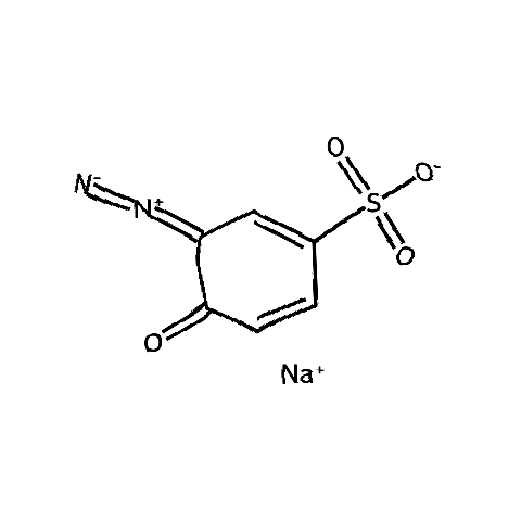 [N-]=[N+]=C1C=C(S(=O)(=O)[O-])C=CC1=O.[Na+]